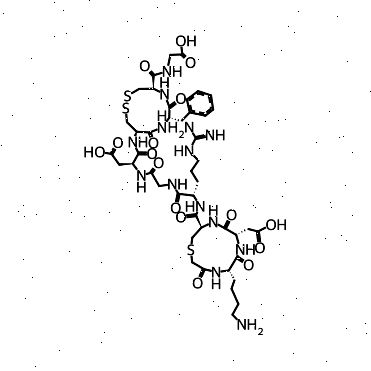 N=C(N)NCCC[C@H](NC(=O)[C@@H]1CSCC(=O)N[C@@H](CCCCN)C(=O)N[C@@H](CC(=O)O)C(=O)N1)C(=O)NCC(=O)N[C@@H](CC(=O)O)C(=O)N[C@H]1CSSC[C@@H](C(=O)NCC(=O)O)NC(=O)[C@H](Cc2ccccc2)NC1=O